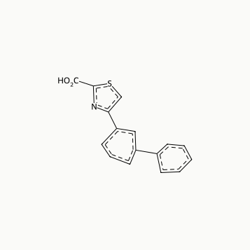 O=C(O)c1nc(-c2cccc(-c3ccccc3)c2)cs1